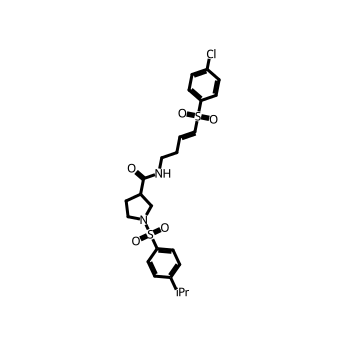 CC(C)c1ccc(S(=O)(=O)N2CCC(C(=O)NCC/C=C/S(=O)(=O)c3ccc(Cl)cc3)C2)cc1